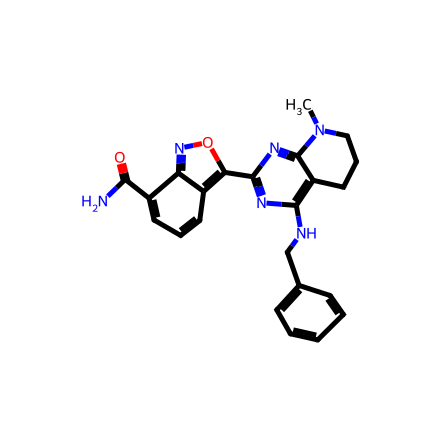 CN1CCCc2c(NCc3ccccc3)nc(-c3onc4c(C(N)=O)cccc34)nc21